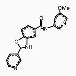 COc1cncc(NC(=O)c2ccc3c(c2)NC(c2cccnc2)O3)c1